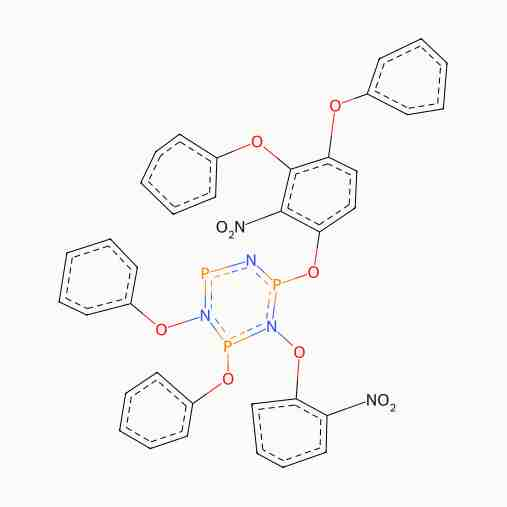 O=[N+]([O-])c1ccccc1On1p(Oc2ccc(Oc3ccccc3)c(Oc3ccccc3)c2[N+](=O)[O-])npn(Oc2ccccc2)p1Oc1ccccc1